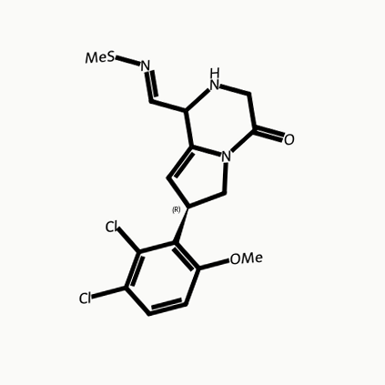 COc1ccc(Cl)c(Cl)c1[C@H]1C=C2C(C=NSC)NCC(=O)N2C1